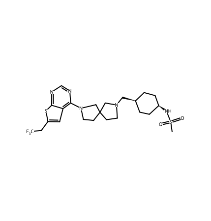 CS(=O)(=O)N[C@H]1CC[C@@H](CN2CCC3(CCN(c4ncnc5sc(CC(F)(F)F)cc45)C3)C2)CC1